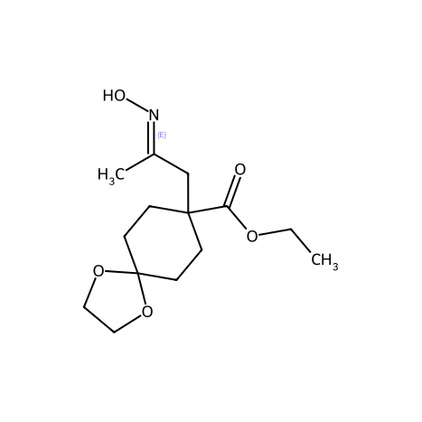 CCOC(=O)C1(C/C(C)=N/O)CCC2(CC1)OCCO2